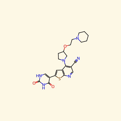 N#Cc1cnc2sc(-c3c[nH]c(=O)[nH]c3=O)cc2c1N1CCC(OCCN2CCCCC2)C1